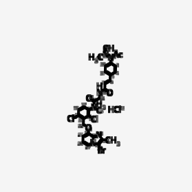 CC(=O)N(c1ccc(C=CC(=O)NCC(=O)N(C)c2ccc(Cl)c(COc3cccn4c(Br)c(C)nc34)c2Cl)cc1)N(C)C.Cl